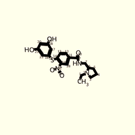 CCN1CCCC1CNC(=O)c1ccc(Sc2cc(O)cc(O)c2)c([N+](=O)[O-])c1